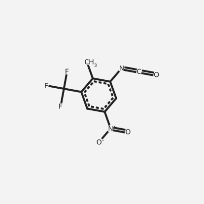 Cc1c(N=C=O)cc([N+](=O)[O-])cc1C(F)(F)F